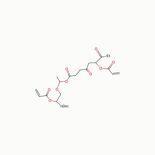 C=CC(=O)OC(CCCCCCCCCC)COC(C)OC(=O)CCC(=O)CC(OC(=O)C=C)C(=O)CC